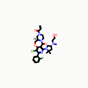 C=CC(=O)N1CCN2C(=O)c3c(N4C[C@H](N(C)CCO)CC4(C)C)nc(-c4ccccc4F)c(Cl)c3OC[C@H]2C1